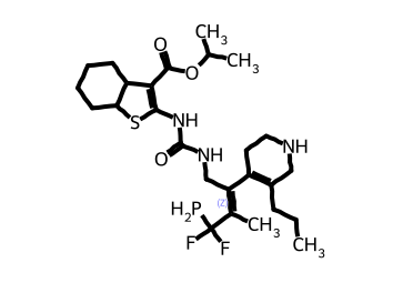 CCCC1=C(/C(CNC(=O)NC2=C(C(=O)OC(C)C)C3CCCCC3S2)=C(\C)C(F)(F)P)CCNC1